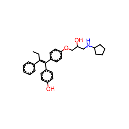 CCC(=C(c1ccc(O)cc1)c1ccc(OCC(O)CNC2CCCC2)cc1)c1ccccc1